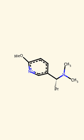 COc1ccc([C@@H](C(C)C)N(C)C)cn1